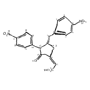 O=C(O)C=C1SC(=Nc2ccc([N+](=O)[O-])cc2)N(c2ccc([N+](=O)[O-])cc2)C1=O